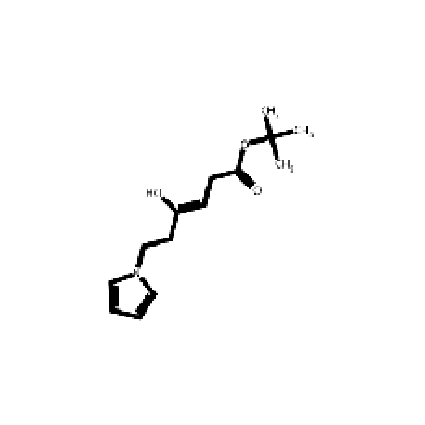 CC(C)(C)OC(=O)CC=C(O)CCn1cccc1